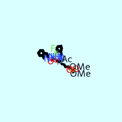 COP(=O)(OC)OCCCC[C@H](COC(=O)Nc1cc2ccccc2cn1)N(NCc1cccc(F)c1F)C(C)=O